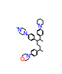 CC(CCC(c1ccc(N2CCN(C)CC2)cc1)C(C)c1ccc(N2CCCCC2)cc1)c1ccc(N2CCOCC2)cc1